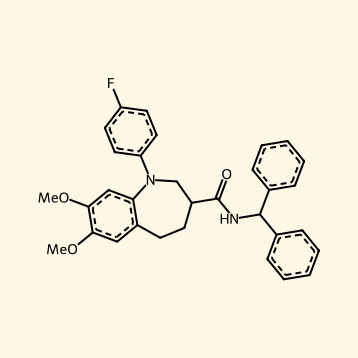 COc1cc2c(cc1OC)N(c1ccc(F)cc1)CC(C(=O)NC(c1ccccc1)c1ccccc1)CC2